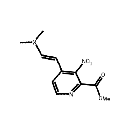 COC(=O)c1nccc(/C=C/N(C)C)c1[N+](=O)[O-]